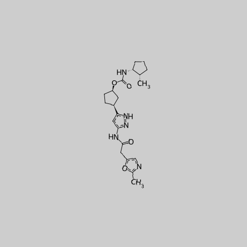 Cc1ncc(CC(=O)Nc2cc([C@H]3CC[C@@H](OC(=O)N[C@@H]4CCC[C@@H]4C)C3)[nH]n2)o1